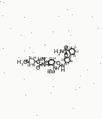 CCC(C)N(CC(=O)Nc1ccc(-c2ccccc2S(N)(=O)=O)cc1)c1cccc(C(=N)NC(=O)OC2CCN(C)CC2)c1